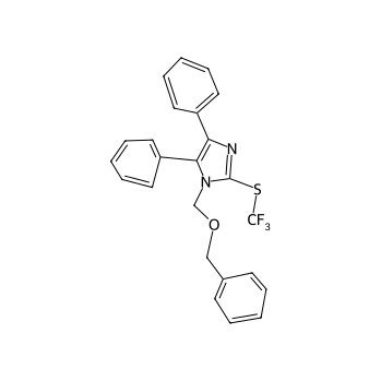 FC(F)(F)Sc1nc(-c2ccccc2)c(-c2ccccc2)n1COCc1ccccc1